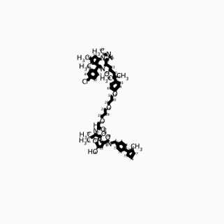 CC1=C(c2ccc(CNC(=O)C3C[C@@H](O)CN3C(=O)C(NC(=O)COCCCOCCCOc3ccc(C(C)(C)CC(=O)CC4N=C(c5ccc(Cl)cc5)C5=C(CC(C)=C5C)n5c(C)nnc54)cc3)C(C)(C)C)cc2)CC=C1